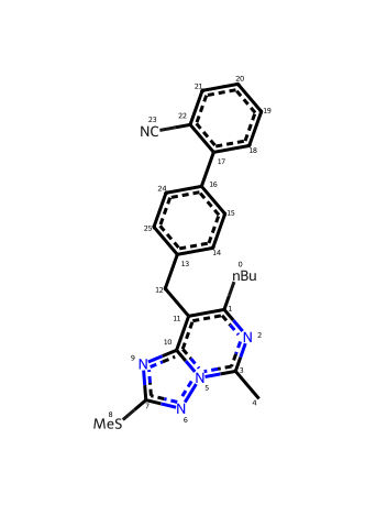 CCCCc1nc(C)n2nc(SC)nc2c1Cc1ccc(-c2ccccc2C#N)cc1